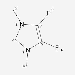 CN1CN(C)C(F)=C1F